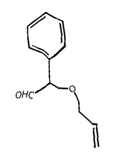 C=CCOC(C=O)c1ccccc1